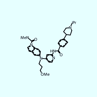 CNC(=O)n1ccc2cc(N(CCCOC)c3ccnc(NC(=O)c4ccc(C5CCN(C(C)C)CC5)cc4)c3)ccc21